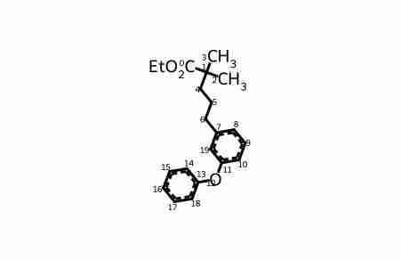 CCOC(=O)C(C)(C)CCCc1cccc(Oc2ccccc2)c1